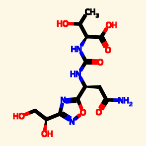 CC(O)[C@H](NC(=O)N[C@@H](CC(N)=O)c1nc([C@@H](O)CO)no1)C(=O)O